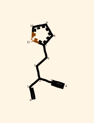 [CH]=CC(C#C)CCc1cccs1